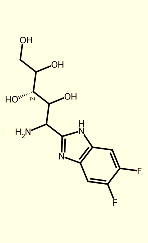 NC(c1nc2cc(F)c(F)cc2[nH]1)C(O)[C@H](O)C(O)CO